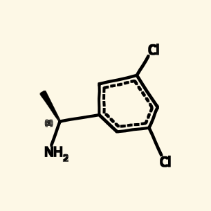 C[C@H](N)c1cc(Cl)cc(Cl)c1